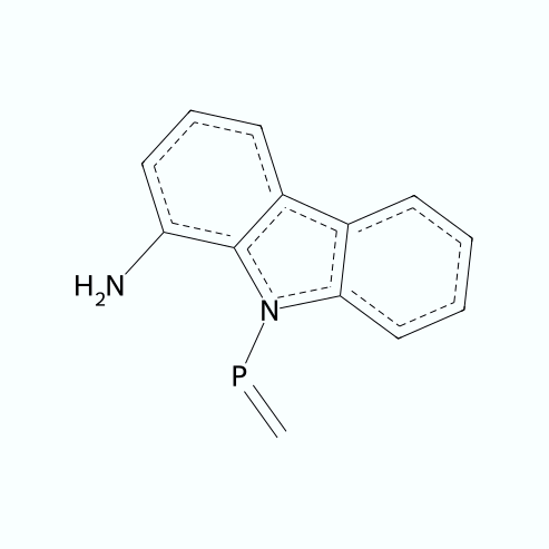 C=Pn1c2ccccc2c2cccc(N)c21